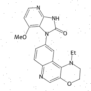 CCN1CCOc2cnc3ccc(-n4c(=O)[nH]c5nccc(OC)c54)cc3c21